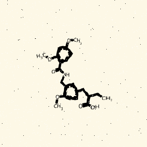 CCC(Cc1ccc(OC)c(CNC(=O)c2ccc(OC)cc2OC)c1)C(=O)O